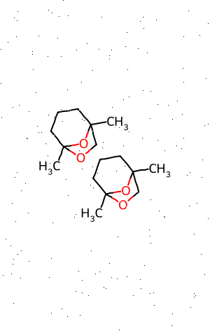 CC12CCCC(C)(OC1)O2.CC12CCCC(C)(OC1)O2